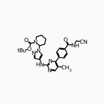 Cc1cnc(Nc2cnn(C3CCCCN3C(=O)OC(C)(C)C)c2)nc1-c1ccc(C(=O)NCC#N)cc1